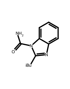 CCC(C)c1nc2ccccc2n1C(N)=O